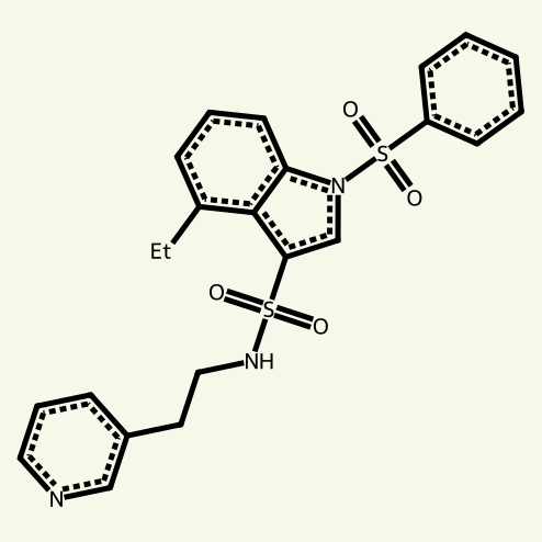 CCc1cccc2c1c(S(=O)(=O)NCCc1cccnc1)cn2S(=O)(=O)c1ccccc1